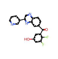 O=C(c1ccc2ncc(-c3cccnc3)nc2c1)c1cc(O)cc(F)c1F